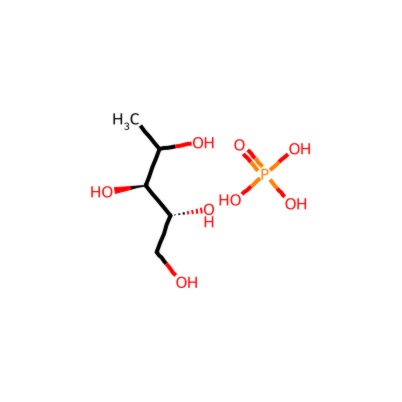 CC(O)[C@H](O)[C@H](O)CO.O=P(O)(O)O